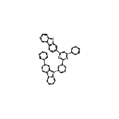 c1ccc(-c2ccc3c4ccccc4n(-c4cccc(-c5nc(-c6ccccc6)cc(-c6ccc7c(c6)sc6ccccc67)n5)c4)c3c2)cc1